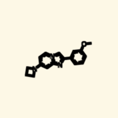 COc1cccc(-c2cn3ccc(N4CCC4)cc3n2)c1